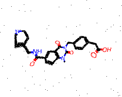 Cn1c(=O)n(Cc2ccc(CC(=O)O)cc2)c(=O)c2cc(C(=O)NCc3ccncc3)ccc21